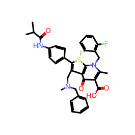 Cc1c(C(=O)O)c(=O)c2c(CN(C)Cc3ccccc3)c(-c3ccc(NC(=O)C(C)C)cc3)sc2n1Cc1c(F)cccc1F